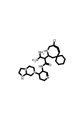 NC(N)C(C(=O)NC1C=NCCC1N1CCN2CCNC2C1)C1CC2(C=C=C(Cl)CN1)CCCCC2